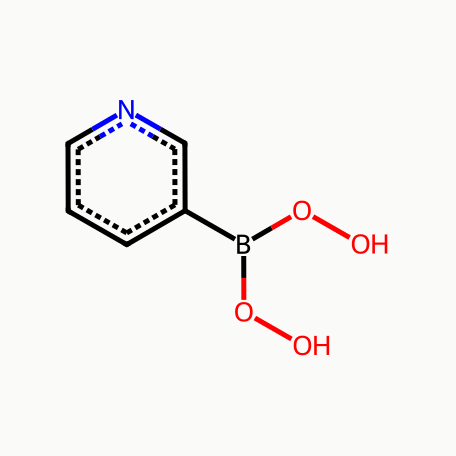 OOB(OO)c1cccnc1